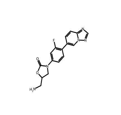 NCC1CN(c2ccc(-c3ccc4ncnn4c3)c(F)c2)C(=O)O1